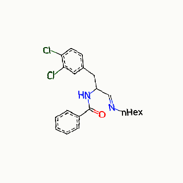 CCCCCCN=CC(Cc1ccc(Cl)c(Cl)c1)NC(=O)c1ccccc1